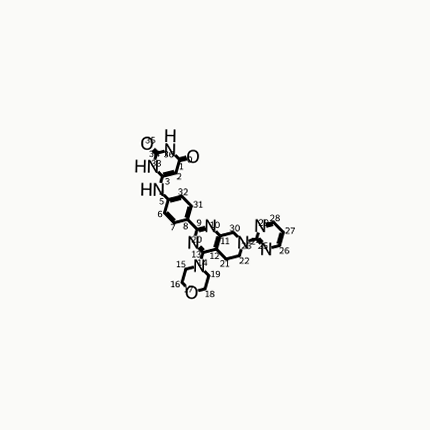 O=c1cc(Nc2ccc(-c3nc4c(c(N5CCOCC5)n3)CCN(c3ncccn3)C4)cc2)[nH]c(=O)[nH]1